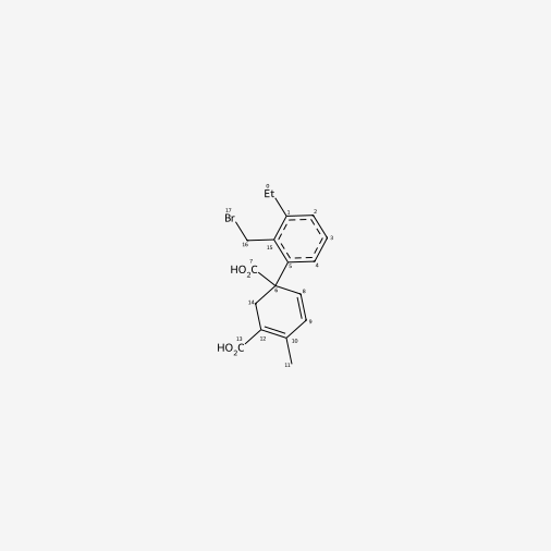 CCc1cccc(C2(C(=O)O)C=CC(C)=C(C(=O)O)C2)c1CBr